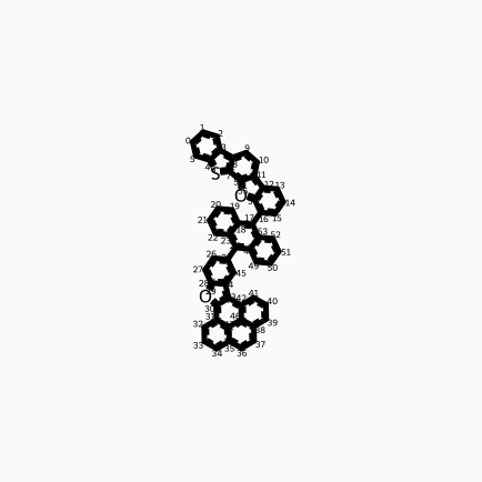 c1ccc2c(c1)sc1c2ccc2c3cccc(-c4c5ccccc5c(-c5ccc6oc7c8cccc9ccc%10cccc(c7c6c5)c%10c98)c5ccccc45)c3oc21